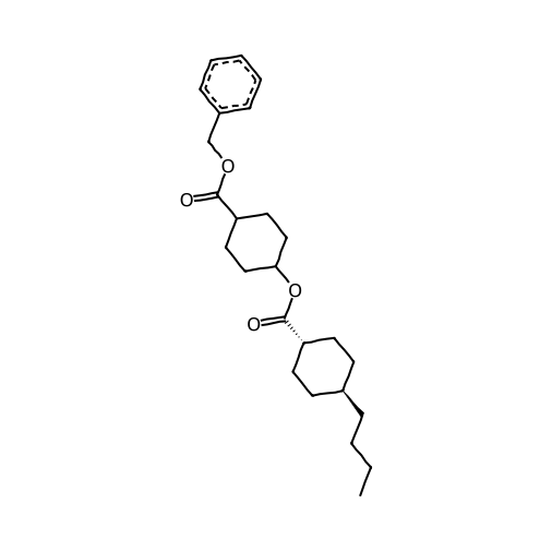 CCCC[C@H]1CC[C@H](C(=O)OC2CCC(C(=O)OCc3ccccc3)CC2)CC1